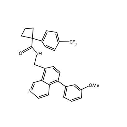 COc1cccc(-c2ccc(CNC(=O)C3(c4ccc(C(F)(F)F)cc4)CCC3)c3cnccc23)c1